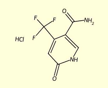 Cl.NC(=O)c1c[nH]c(=O)cc1C(F)(F)F